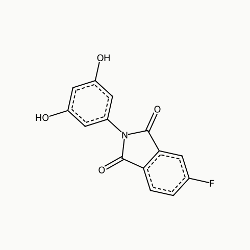 O=C1c2ccc(F)cc2C(=O)N1c1cc(O)cc(O)c1